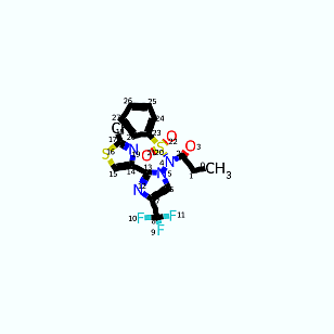 CCC(=O)N(n1cc(C(F)(F)F)nc1-c1csc(C)n1)S(=O)(=O)c1ccccc1